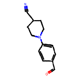 N#CC1CCN(c2ccc(C=O)cc2)CC1